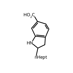 CCCCCCCC1Cc2ccc(C(=O)O)cc2N1